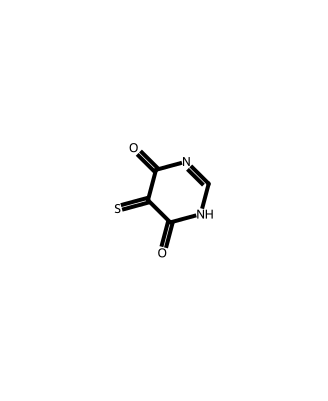 O=C1N=CNC(=O)C1=S